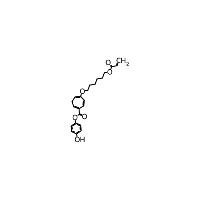 C=CC(=O)OCCCCCCOC1=CCC=C(C(=O)Oc2ccc(O)cc2)C=C1